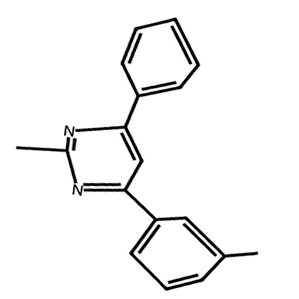 Cc1cccc(-c2cc(-c3ccccc3)nc(C)n2)c1